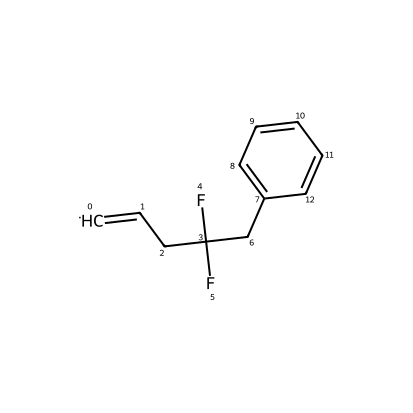 [CH]=CCC(F)(F)Cc1ccccc1